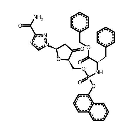 NC(=O)c1ncn([C@H]2CC(=O)[C@@H](COP(=O)(N[C@@H](Cc3ccccc3)C(=O)OCc3ccccc3)Oc3cccc4ccccc34)O2)n1